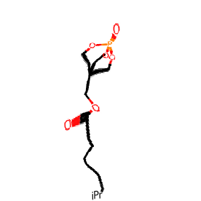 CC(C)CCCC(=O)OCC12COP(=O)(OC1)OC2